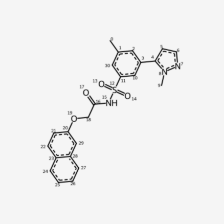 Cc1cc(-c2ccnn2C)cc(S(=O)(=O)NC(=O)COc2ccc3ccccc3c2)c1